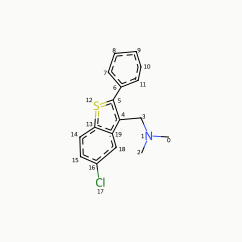 CN(C)Cc1c(-c2ccccc2)sc2ccc(Cl)cc12